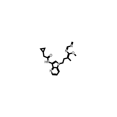 C=N/C=N\C(OC)=C(\C)CCn1cc(NC(=O)CC2CC2)c2ncccc21